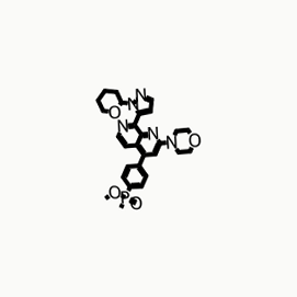 COP(C)(=O)c1ccc(-c2cc(N3CCOCC3)nc3c(-c4ccnn4C4CCCCO4)nccc23)cc1